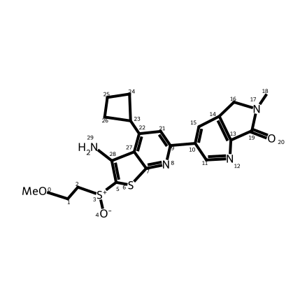 COCC[S+]([O-])c1sc2nc(-c3cnc4c(c3)CN(C)C4=O)cc(C3CCC3)c2c1N